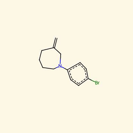 C=C1CCCCN(c2ccc(Br)cc2)C1